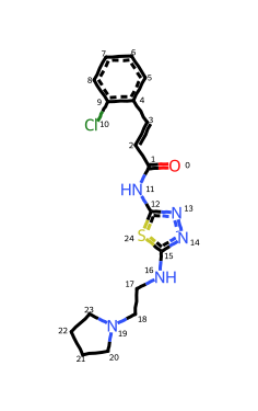 O=C(/C=C/c1ccccc1Cl)Nc1nnc(NCCN2CCCC2)s1